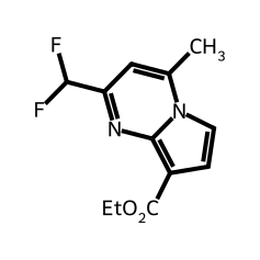 CCOC(=O)c1ccn2c(C)cc(C(F)F)nc12